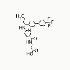 CCC[C@H](Nc1ccc(C(=O)NCCC(=O)O)cn1)c1ccc(-c2ccc(C(F)(F)F)cc2)cc1